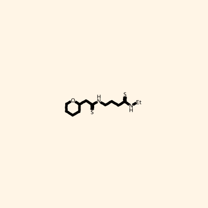 CCNC(=S)CCCNC(=S)CC1CCCCO1